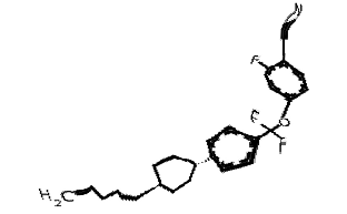 C=CCCC[C@H]1CC[C@H](c2ccc(C(F)(F)Oc3ccc(C#N)c(F)c3)cc2)CC1